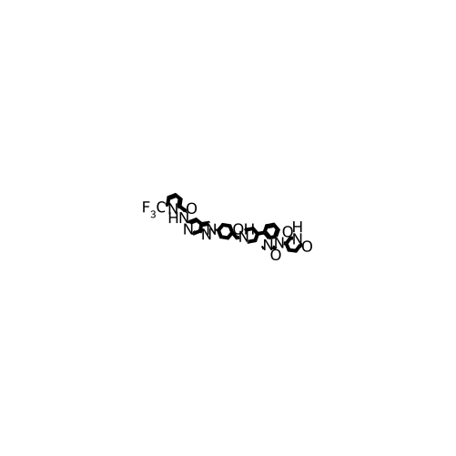 Cn1c(=O)n(C2CCC(=O)NC2=O)c2cccc(C3CCN(C[C@]4(O)CC[C@@H](n5cc6cc(NC(=O)c7cccc(C(F)(F)F)n7)ncc6n5)CC4)CC3)c21